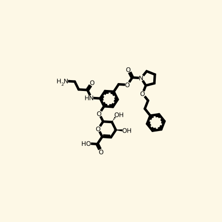 NCCC(=O)Nc1cc(COC(=O)N2CCCC2OCCc2ccccc2)ccc1OC1OC(C(=O)O)=C[C@H](O)[C@H]1O